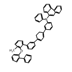 Cc1cccc(-c2cccc(C3=CC=C(c4cccc(N(c5ccccc5)c5cc6ccccc6c6ccccc56)c4)CC3)c2)c1Oc1ccccc1-c1ccccc1